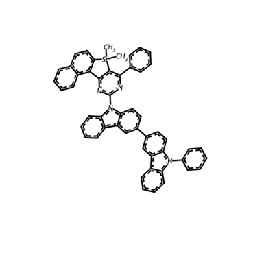 C[Si]1(C)c2ccc3ccccc3c2-c2nc(-n3c4ccccc4c4cc(-c5ccc6c(c5)c5ccccc5n6-c5ccccc5)ccc43)nc(-c3ccccc3)c21